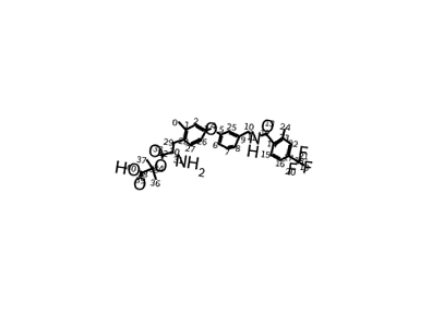 Cc1cc(Oc2cccc(CNC(=O)c3ccc(C(F)(F)F)cc3C)c2)ccc1C[C@H](N)C(=O)OC(C)(C)C(=O)O